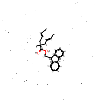 CC=CCC(C)(CC=CC)C(=O)OCC1c2ccccc2-c2ccccc21